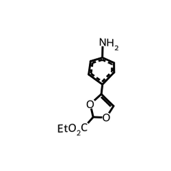 CCOC(=O)C1OC=C(c2ccc(N)cc2)O1